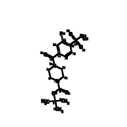 CC(C)(C)OC(=O)N1CCN(C(=O)c2ccc(S(N)(=O)=O)c(F)c2)CC1